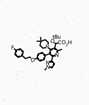 Cc1nc(-c2ccn(C)n2)c(-c2ccc(OCCc3ccc(F)cc3)cc2)c(N2CCC(C)(C)CC2)c1C(OC(C)(C)C)C(=O)O